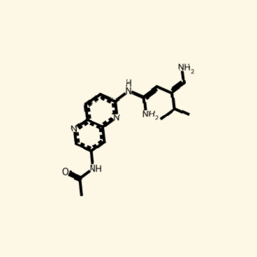 CC(=O)Nc1cnc2ccc(N/C(N)=C/C(=C\N)C(C)C)nc2c1